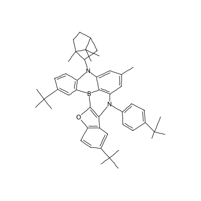 Cc1cc2c3c(c1)N(C1CC4CCC1(C)C4(C)C)c1ccc(C(C)(C)C)cc1B3c1oc3ccc(C(C)(C)C)cc3c1N2c1ccc(C(C)(C)C)cc1